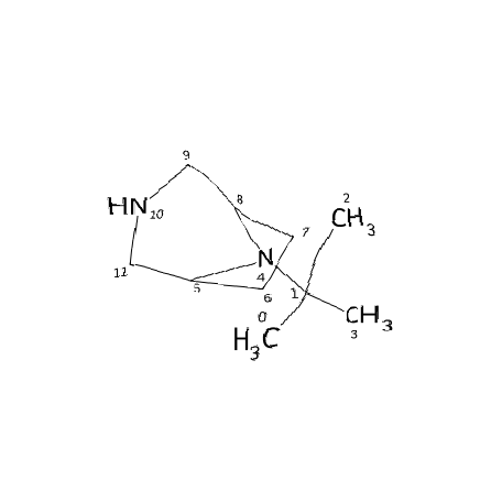 CC(C)(C)N1C2CCC1CNC2